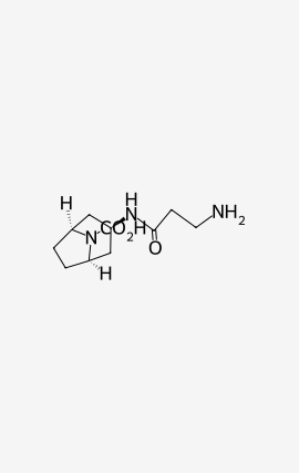 NCCC(=O)N[C@H]1C[C@H]2CC[C@@H](C1)N2C(=O)O